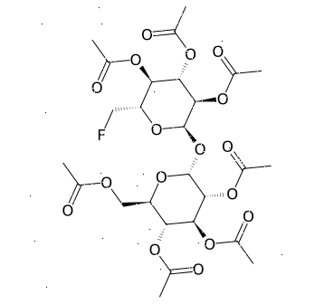 CC(=O)OC[C@H]1O[C@H](O[C@H]2O[C@H](CF)[C@@H](OC(C)=O)[C@H](OC(C)=O)[C@H]2OC(C)=O)[C@H](OC(C)=O)[C@@H](OC(C)=O)[C@@H]1OC(C)=O